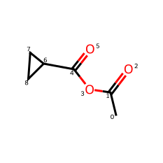 CC(=O)OC(=O)C1CC1